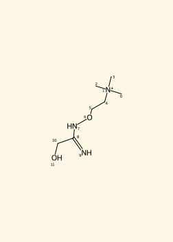 C[N+](C)(C)CCONC(=N)CO